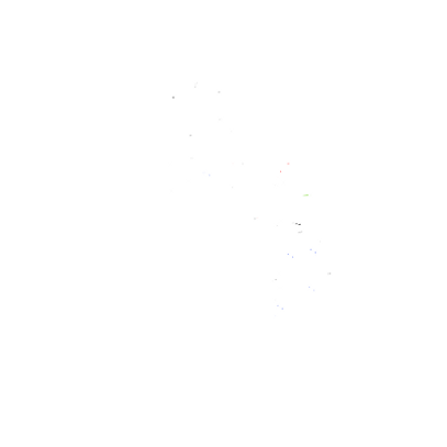 CC(NP(=O)(OC[C@H]1O[C@@](C)(c2ccc3c(N)ncnn23)[C@H](F)[C@@H]1O)Oc1ccccc1)C(=O)O